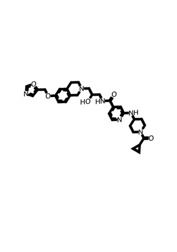 O=C(NCC(O)CN1CCc2cc(OCc3cnco3)ccc2C1)c1ccnc(NC2CCN(C(=O)C3CC3)CC2)c1